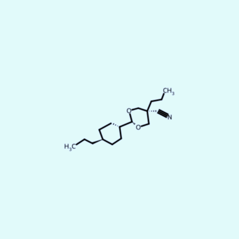 CCC[C@H]1CC[C@H]([C@H]2OC[C@](C#N)(CCC)CO2)CC1